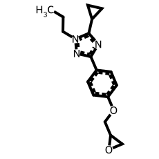 CCCn1nc(-c2ccc(OCC3CO3)cc2)nc1C1CC1